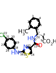 Cc1ccccc1[C@H](CC(=O)O)NC(=O)c1csc(Nc2ccc(Cl)cc2)n1